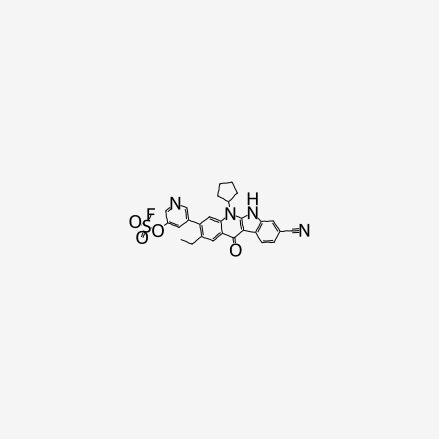 CCc1cc2c(=O)c3c4ccc(C#N)cc4[nH]c3n(C3CCCC3)c2cc1-c1cncc(OS(=O)(=O)F)c1